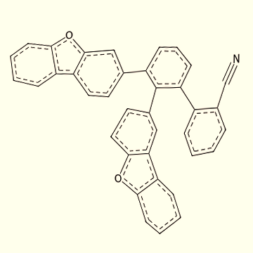 N#Cc1ccccc1-c1cccc(-c2ccc3c(c2)oc2ccccc23)c1-c1ccc2oc3ccccc3c2c1